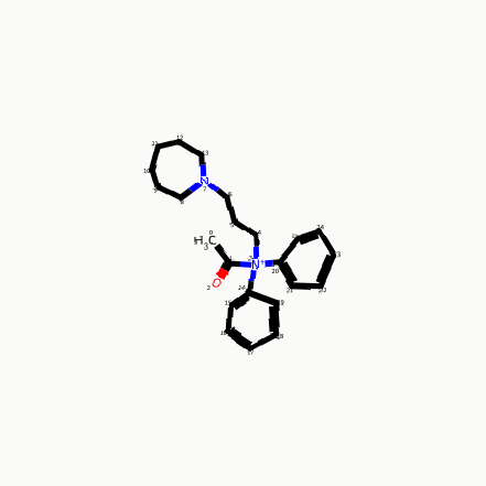 CC(=O)[N+](CCCN1CCCCCC1)(c1ccccc1)c1ccccc1